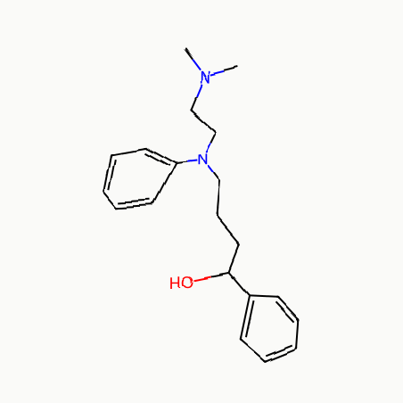 CN(C)CCN(CCCC(O)c1ccccc1)c1ccccc1